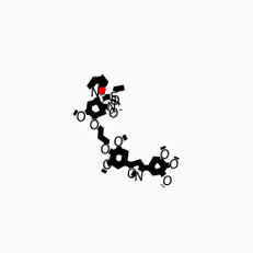 CCSC(SCC)[C@]1([N+](=O)[O-])CC(OCCCOc2c(OC)cc(C3CC(c4cc(OC)c(OC)c(OC)c4)=NO3)cc2OC)C(OC)CC1n1cccc1